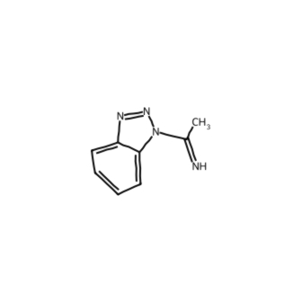 CC(=N)n1nnc2ccccc21